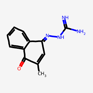 CC1=CC(=NNC(=N)N)c2ccccc2C1=O